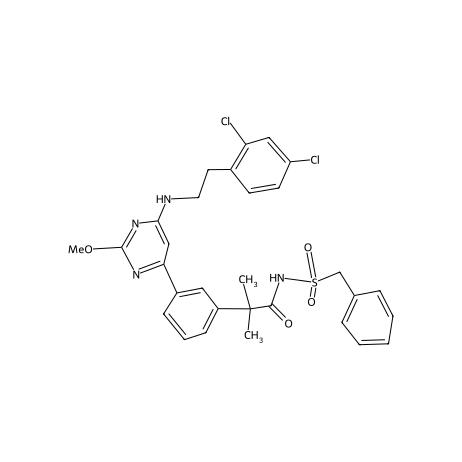 COc1nc(NCCc2ccc(Cl)cc2Cl)cc(-c2cccc(C(C)(C)C(=O)NS(=O)(=O)Cc3ccccc3)c2)n1